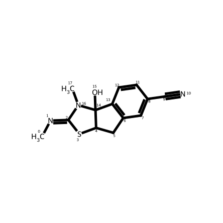 C/N=C1\SC2Cc3cc(C#N)ccc3C2(O)N1C